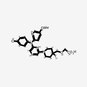 COc1ccc(N(c2ccc(Cl)cc2)c2cncc(N3CCC(F)(COCC(=O)O)CC3)n2)nc1